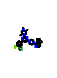 C[C@@H]1CN(c2nc(-c3ccc(F)c(Cl)c3)cc(N3CCN(c4ncccc4C(F)(F)F)CC3)n2)[C@@H](C)CN1C